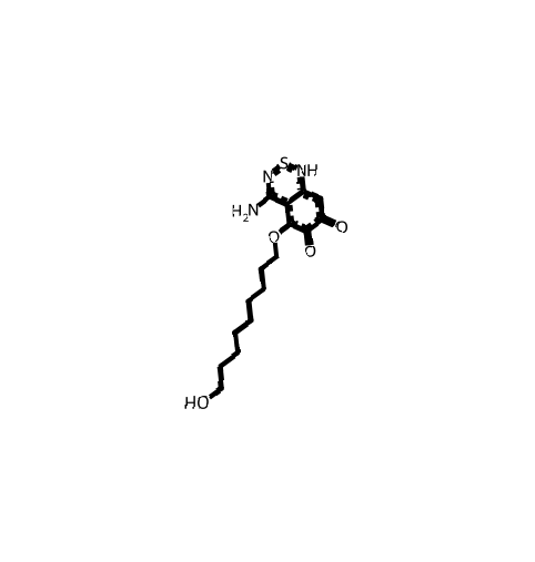 Nc1ns[nH]c2cc(=O)c(=O)c(OCCCCCCCCCO)c1-2